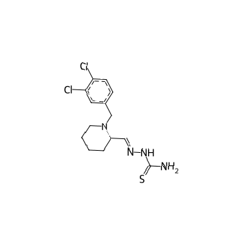 NC(=S)N/N=C/C1CCCCN1Cc1ccc(Cl)c(Cl)c1